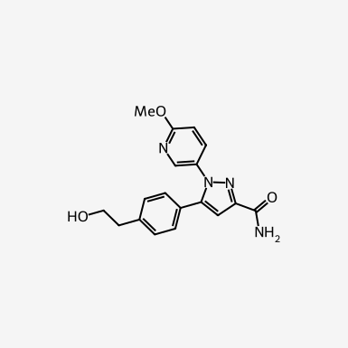 COc1ccc(-n2nc(C(N)=O)cc2-c2ccc(CCO)cc2)cn1